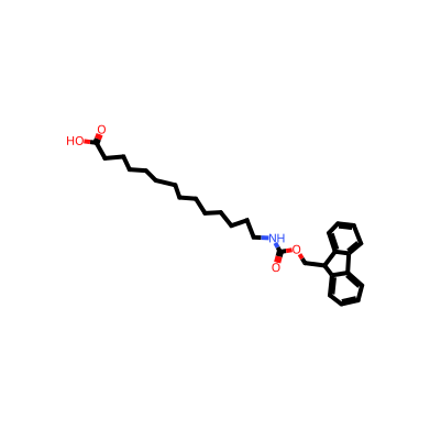 O=C(O)CCCCCCCCCCCCCNC(=O)OCC1c2ccccc2-c2ccccc21